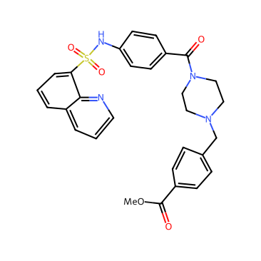 COC(=O)c1ccc(CN2CCN(C(=O)c3ccc(NS(=O)(=O)c4cccc5cccnc45)cc3)CC2)cc1